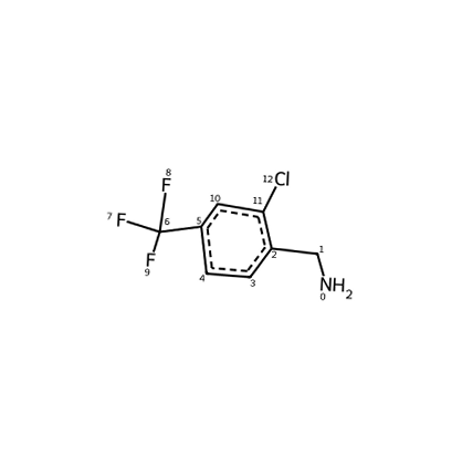 NCc1ccc(C(F)(F)F)cc1Cl